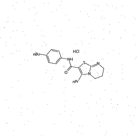 CCCCc1ccc(NC(=O)C2=C(CCC)N3CCCN=C3S2)cc1.Cl